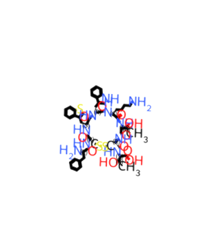 C[C@@H](O)[C@H](NC(=O)[C@@H]1CSSC[C@H](NC(=O)[C@H](N)Cc2ccccc2)C(=O)N[C@@H](Cc2csc3ccccc23)C(=O)N[C@H](Cc2c[nH]c3ccccc23)C(=O)N[C@@H](CCCCN)C(=O)N[C@@H]([C@@H](C)O)C(=O)N1)C(=O)O